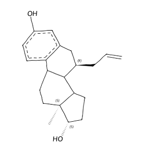 C=CC[C@@H]1Cc2cc(O)ccc2C2CC[C@@]3(C)C(CC[C@@H]3O)C21